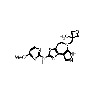 COc1ccnc(Nc2nc3c(s2)CCN(CC2(C)COC2)c2[nH]ncc2-3)n1